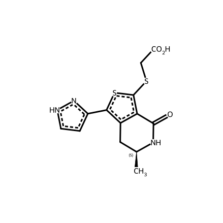 C[C@H]1Cc2c(-c3cc[nH]n3)sc(SCC(=O)O)c2C(=O)N1